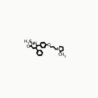 C[C@@H]1CCCN1CCCOc1ccc(-c2nn(C)c(=O)cc2-c2ccccc2)cc1